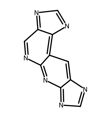 C1=Nc2cc3c4c(cnc3nc2=N1)=NC=N4